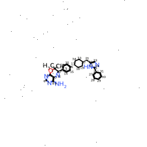 CC1(C)Oc2ncnc(N)c2N=C1c1ccc([C@H]2CC[C@H](Cc3cnc(-c4ccccc4)[nH]3)CC2)cc1